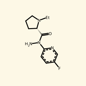 CCN1CCC[C@H]1C(=O)N(N)c1ccc(F)cn1